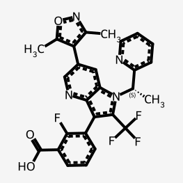 Cc1noc(C)c1-c1cnc2c(-c3cccc(C(=O)O)c3F)c(C(F)(F)F)n([C@@H](C)c3ccccn3)c2c1